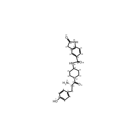 N[C@@H](Cc1ccc(O)cc1)C(=O)N1CCC(NC(=O)c2ccc3c(c2)CC(=O)N3)CC1